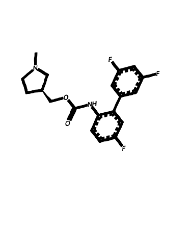 CN1CC[C@H](COC(=O)Nc2ccc(F)cc2-c2cc(F)cc(F)c2)C1